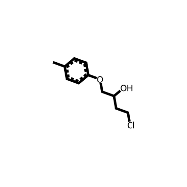 Cc1ccc(OCC(O)CCCl)cc1